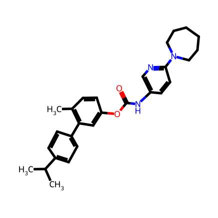 Cc1ccc(OC(=O)Nc2ccc(N3CCCCCC3)nc2)cc1-c1ccc(C(C)C)cc1